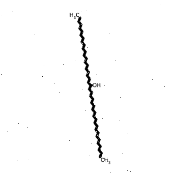 CCCCCCCCCCCCCCCCCCCCCCC(O)CCCCCCCCCCCCCCCCCCCCC